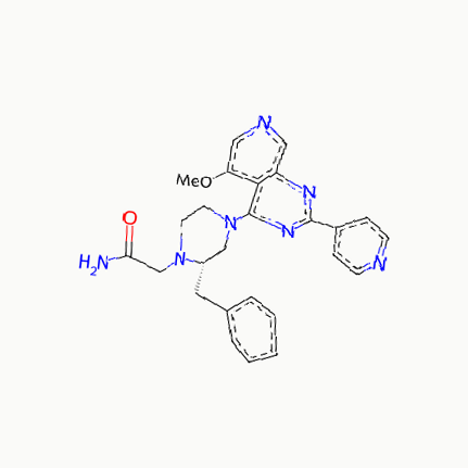 COc1cncc2nc(-c3ccncc3)nc(N3CCN(CC(N)=O)[C@@H](Cc4ccccc4)C3)c12